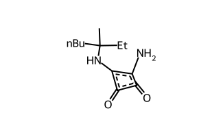 CCCCC(C)(CC)Nc1c(N)c(=O)c1=O